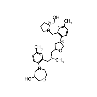 Cc1ccc([C@H]2COC(CN(C)Cc3nc(C)ccc3N3CCOCC(O)C3)C2)c(CN2CCC[C@@H]2CO)n1